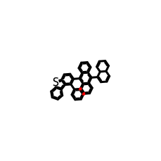 C1=CC2C=CC=C(c3c4ccccc4c(-c4ccc5sc6ccccc6c5c4-c4ccccc4)c4ccccc34)C2C=C1